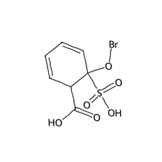 O=C(O)C1C=CC=CC1(OBr)S(=O)(=O)O